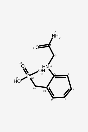 NC(=O)CNc1ccccc1CP(=O)(O)O